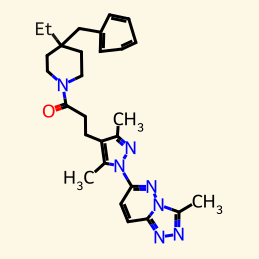 CCC1(Cc2ccccc2)CCN(C(=O)CCc2c(C)nn(-c3ccc4nnc(C)n4n3)c2C)CC1